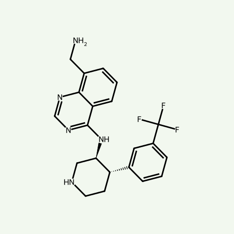 NCc1cccc2c(N[C@@H]3CNCC[C@H]3c3cccc(C(F)(F)F)c3)ncnc12